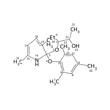 CCC(OC1(Oc2c(C)cc(C)cc2C)NC(C)=CC=C1C)C(C)O